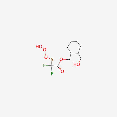 O=C(OCC1CCCCC1CO)C(F)(F)SOOO